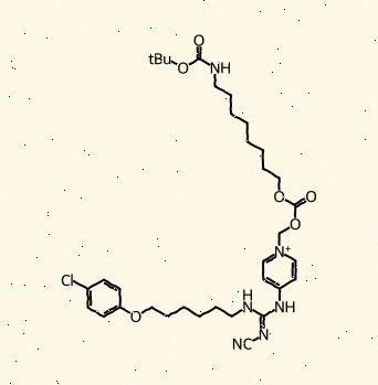 CC(C)(C)OC(=O)NCCCCCCCCOC(=O)OC[n+]1ccc(NC(=NC#N)NCCCCCCOc2ccc(Cl)cc2)cc1